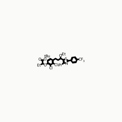 CCOC(CCc1ccc(OC(CC)C(=O)OC(C)(C)C)c(Cl)c1Cl)c1sc(-c2ccc(C(F)(F)F)cc2)nc1C(C)C